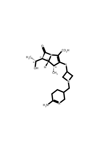 C[C@@H](O)[C@H]1C(=O)N2C(C(=O)O)=C(SC3CN(CC4CCC(N)=NC4)C3)[C@H](C)[C@H]12